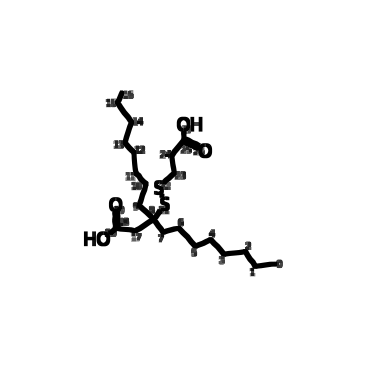 CCCCCCCCC(CCCCCCCC)(CC(=O)O)SSCCC(=O)O